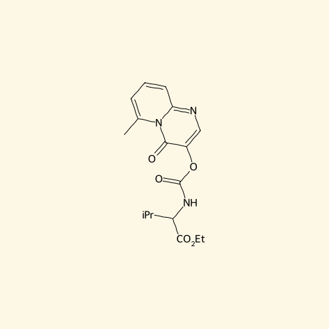 CCOC(=O)C(NC(=O)Oc1cnc2cccc(C)n2c1=O)C(C)C